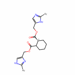 CC(=O)c1nc(COC(=O)C2CCCC[C@@H]2C(=O)OCc2cnc(C(C)=O)[nH]2)c[nH]1